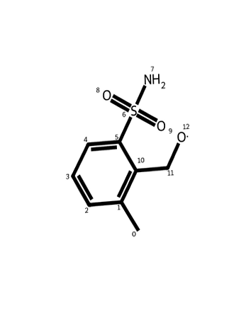 Cc1cccc(S(N)(=O)=O)c1C[O]